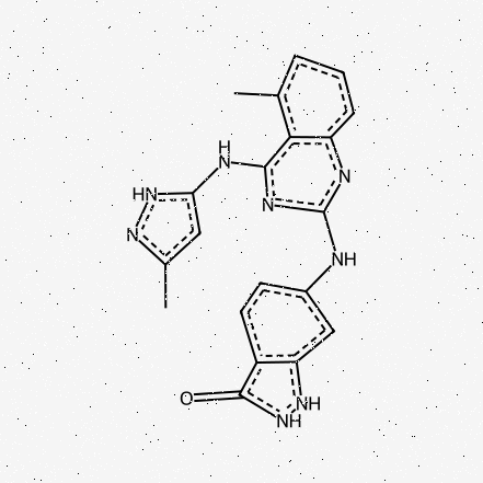 Cc1cc(Nc2nc(Nc3ccc4c(=O)[nH][nH]c4c3)nc3cccc(C)c23)[nH]n1